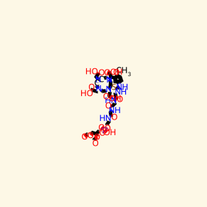 COc1ccc(NC(=S)NCC(=O)NCC(=O)NCC(=O)NCCOP(=O)(O)OCC(COC=O)OC=O)cc1C(C(=O)O)N1CCN(CC(=O)O)CCN(CC(=O)O)CCN(CC(=O)O)CC1